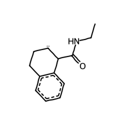 CCNC(=O)C1[C]CCc2ccccc21